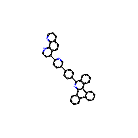 c1cnc2c(c1)ccc1c(-c3ccc(-c4ccc(-c5nc6c7ccccc7c7ccccc7c6c6ccccc56)cc4)cn3)ccnc12